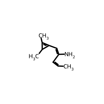 C/C=C\C(N)=C/C1=C(C)C1C